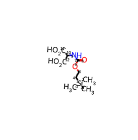 C[Si](C)(C)CCOC(=O)NC(C(=O)O)C(=O)O